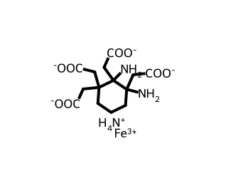 NC1(CC(=O)[O-])CCCC(CC(=O)[O-])(CC(=O)[O-])C1(N)CC(=O)[O-].[Fe+3].[NH4+]